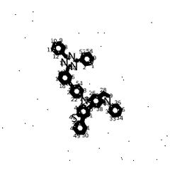 c1ccc(-c2nc(-c3ccccc3)nc(-c3cccc(-c4ccc(-n5c6cc7ccn(-c8ccccc8)c7cc6c6cc7c(cc65)sc5ccccc57)cc4)c3)n2)cc1